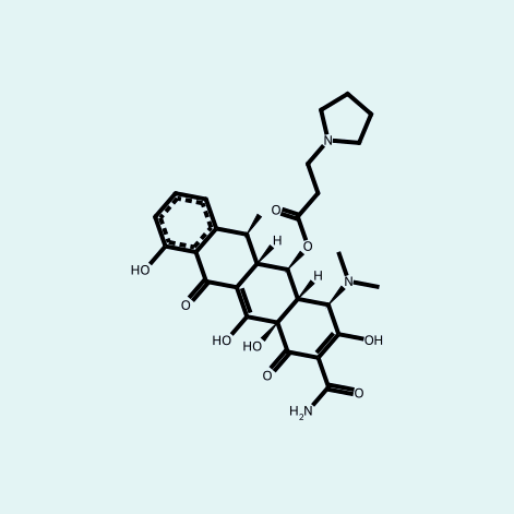 C[C@@H]1c2cccc(O)c2C(=O)C2=C(O)[C@@]3(O)C(=O)C(C(N)=O)=C(O)[C@H](N(C)C)[C@H]3[C@H](OC(=O)CCN3CCCC3)[C@H]21